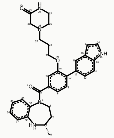 C[C@H]1CCN(C(=O)c2ccc(-c3ccc4[nH]ccc4c3)c(OCCCN3CCNC(=O)C3)c2)c2ccccc2N1